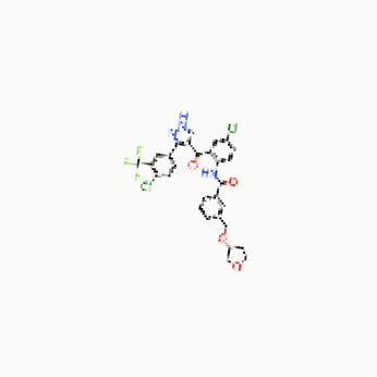 O=C(Nc1ccc(Cl)cc1C(=O)c1c[nH]nc1-c1ccc(Cl)c(C(F)(F)F)c1)c1cccc(COC2CCOC2)c1